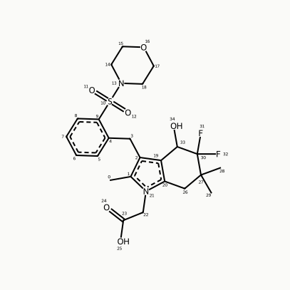 Cc1c(Cc2ccccc2S(=O)(=O)N2CCOCC2)c2c(n1CC(=O)O)CC(C)(C)C(F)(F)C2O